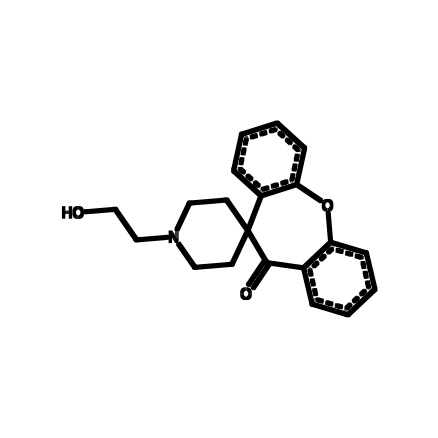 O=C1c2ccccc2Oc2ccccc2C12CCN(CCO)CC2